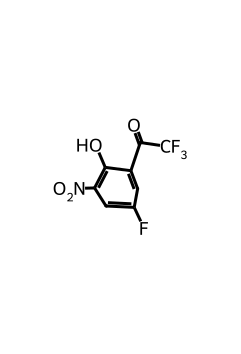 O=C(c1cc(F)cc([N+](=O)[O-])c1O)C(F)(F)F